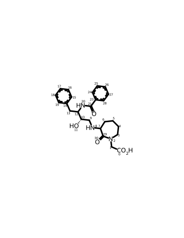 O=C(O)CN1CCCCC(NC[C@H](O)C(Cc2ccccc2)NC(=O)c2ccccc2)C1=O